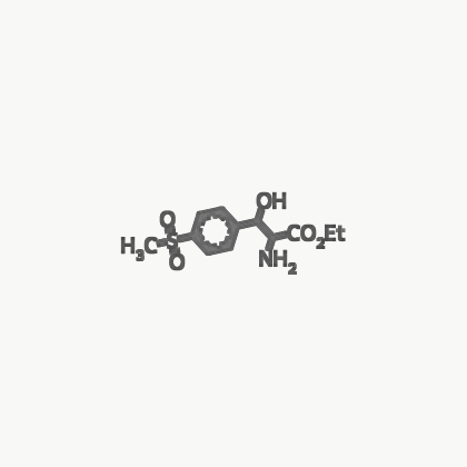 CCOC(=O)C(N)C(O)c1ccc(S(C)(=O)=O)cc1